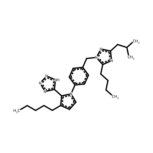 CCCCCc1ccn(-c2ccc(Cn3nc(CC(C)C)nc3CCCC)cc2)c1-c1nnn[nH]1